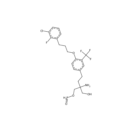 NC(CO)(CCc1ccc(OCCCc2cccc(Cl)c2F)c(C(F)(F)F)c1)CO[PH2]=O